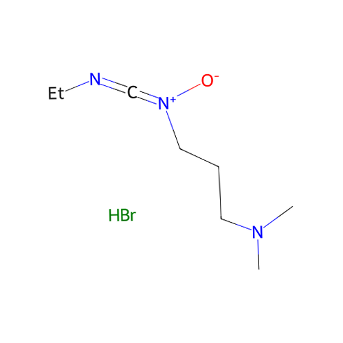 Br.CCN=C=[N+]([O-])CCCN(C)C